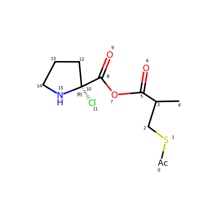 CC(=O)SCC(C)C(=O)OC(=O)[C@]1(Cl)CCCN1